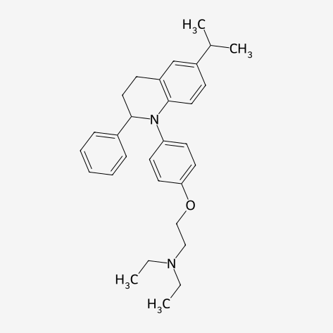 CCN(CC)CCOc1ccc(N2c3ccc(C(C)C)cc3CCC2c2ccccc2)cc1